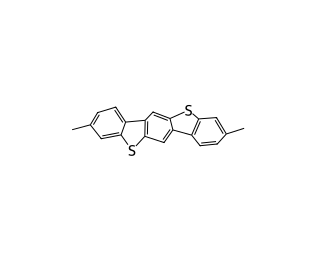 Cc1ccc2c(c1)sc1cc3c(cc12)sc1cc(C)ccc13